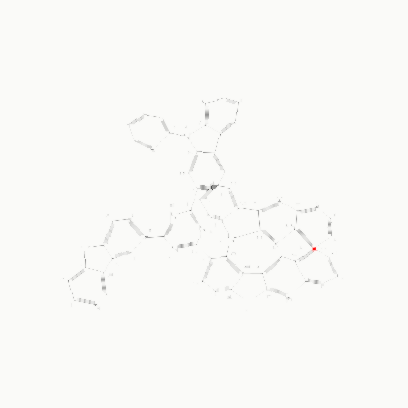 c1ccc(-n2c3ccccc3c3ccc(-c4nc(-c5ccc6oc7ccccc7c6c5)nc(-c5ccc6oc7cc8ccccc8cc7c6c5-n5c6ccccc6c6cc7ccccc7cc65)n4)cc32)cc1